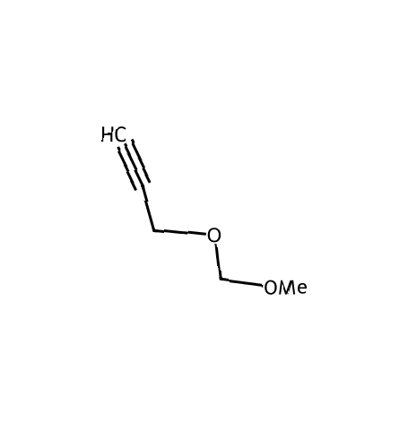 C#CCOCOC